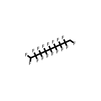 FCC(F)(F)C(F)(F)C(F)(F)C(F)(F)C(F)(F)C(F)(F)C(F)(F)[C](F)F